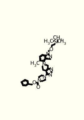 Cc1ccc2c(cnn2COCC[Si](C)(C)C)c1N1CCc2c(ncnc2N2CCN(C(=O)OCc3ccccc3)CC2)C1